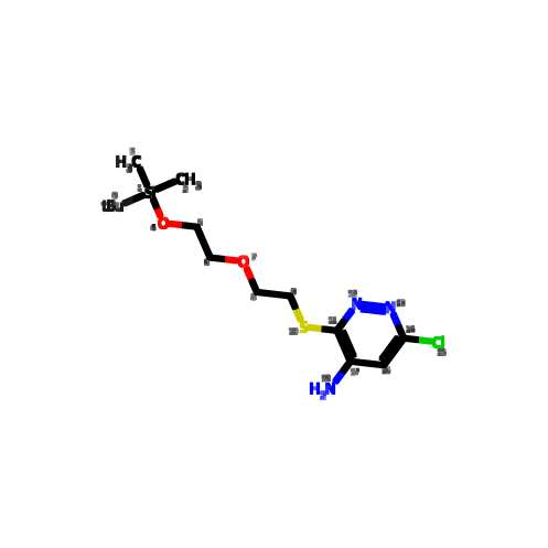 CC(C)(C)[Si](C)(C)OCCOCCSc1nnc(Cl)cc1N